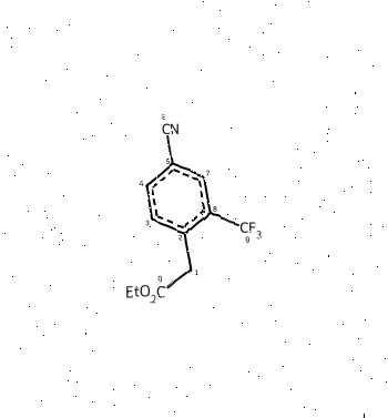 CCOC(=O)Cc1ccc(C#N)cc1C(F)(F)F